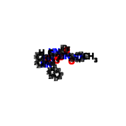 CC(C)[C@H](NC(=O)[C@H](C)NC(=O)[C@H](Cc1cccc2ccccc12)NC(=O)c1cccc2ccccc12)C(=O)C(=O)NCC(=O)N1CCN(C)CC1